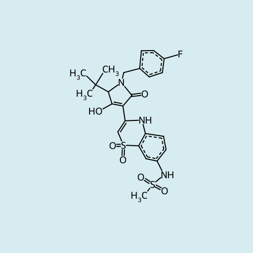 CC(C)(C)C1C(O)=C(C2=CS(=O)(=O)c3cc(NS(C)(=O)=O)ccc3N2)C(=O)N1Cc1ccc(F)cc1